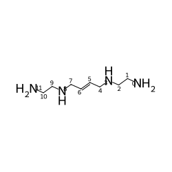 NCCNCC=CCNCCN